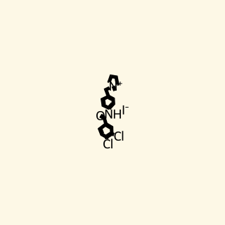 C[N+]1(Cc2ccc(NC(=O)c3ccc(Cl)c(Cl)c3)cc2)CCCC1.[I-]